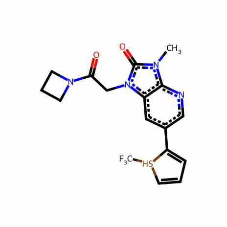 Cn1c(=O)n(CC(=O)N2CCC2)c2cc(C3=CC=C[SH]3C(F)(F)F)cnc21